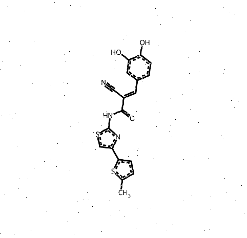 Cc1ccc(-c2csc(NC(=O)/C(C#N)=C/c3ccc(O)c(O)c3)n2)s1